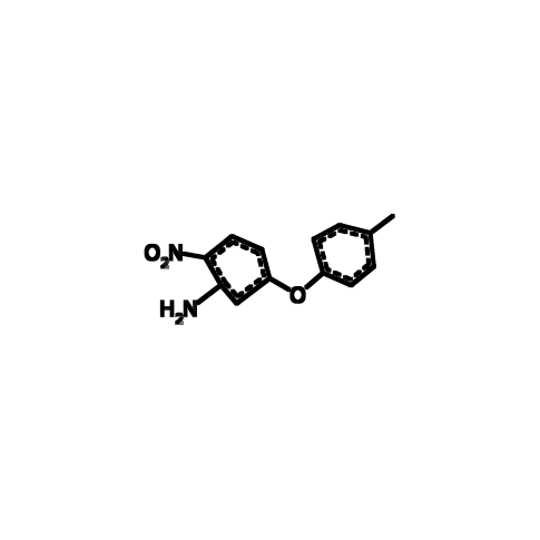 Cc1ccc(Oc2ccc([N+](=O)[O-])c(N)c2)cc1